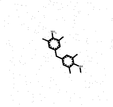 CNc1c(C)cc(Cc2cc(C)c(N)c(C)c2)cc1C